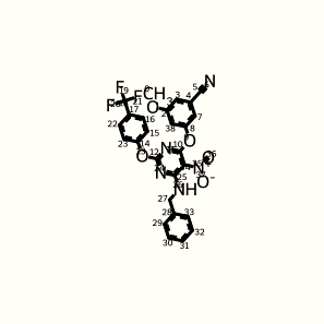 COc1cc(C#N)cc(Oc2nc(Oc3ccc(C(F)(F)F)cc3)nc(NCc3ccccc3)c2[N+](=O)[O-])c1